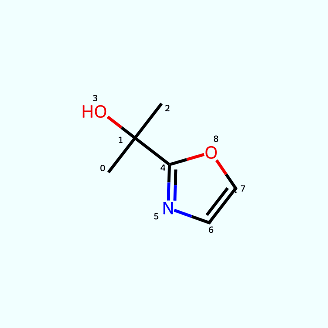 CC(C)(O)c1nc[c]o1